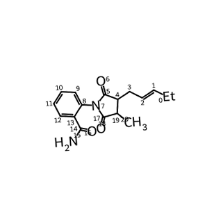 CCC=CCC1C(=O)N(c2ccccc2C(N)=O)C(=O)C1C